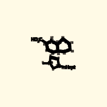 CCCCCCCN1C=CN(C)C1.O=C(O)c1ccc2ccccc2n1